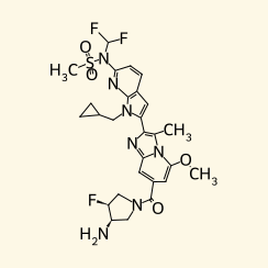 COc1cc(C(=O)N2C[C@@H](N)[C@@H](F)C2)cc2nc(-c3cc4ccc(N(C(F)F)S(C)(=O)=O)nc4n3CC3CC3)c(C)n12